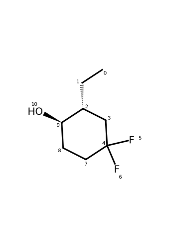 CC[C@@H]1CC(F)(F)CC[C@H]1O